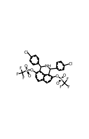 O=S(=O)(Oc1ccc2ccc(OS(=O)(=O)C(F)(F)F)c3c2c1C(c1ccc(Cl)cc1)NC3c1ccc(Cl)cc1)C(F)(F)F